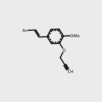 C#CCOc1cc(/C=C/C(C)=O)ccc1OC